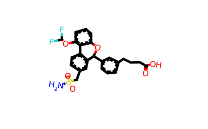 NS(=O)(=O)Cc1ccc2c(c1)C(c1cccc(CCCC(=O)O)c1)Oc1cccc(OC(F)F)c1-2